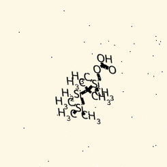 CC(C)([SiH2]C[Si](C)(C)C)[Si](C)(C)COC(=O)O